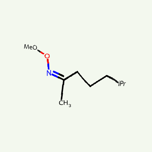 COON=C(C)CCCC(C)C